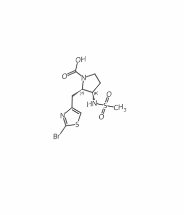 CS(=O)(=O)N[C@@H]1CCN(C(=O)O)[C@@H]1Cc1csc(Br)n1